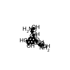 CC(C)(CNS(=O)(=O)c1cc(S(=O)(=O)NCC(C)(C)C(N)C(=O)O)c2ccc3c(O)cc(O)c4ccc1c2c43)C(N)C(=O)O